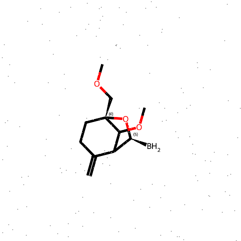 B[C@@H]1O[C@@]2(COC)CCC(=C)C1C2OC